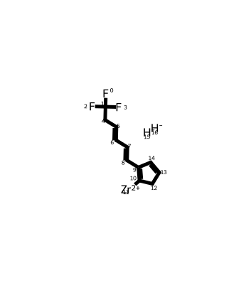 FC(F)(F)CC=CC=CC1=[C]([Zr+2])CC=C1.[H-].[H-]